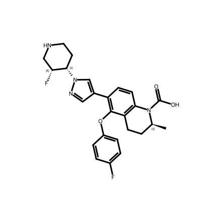 C[C@H]1CCc2c(ccc(-c3cnn([C@H]4CCNC[C@H]4F)c3)c2Oc2ccc(F)cc2)N1C(=O)O